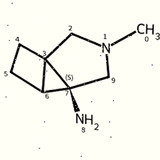 CN1CC23CCC2[C@@]3(N)C1